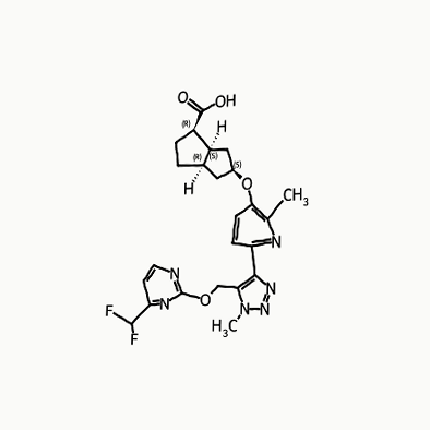 Cc1nc(-c2nnn(C)c2COc2nccc(C(F)F)n2)ccc1O[C@H]1C[C@H]2CC[C@@H](C(=O)O)[C@H]2C1